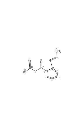 CC=Cc1ccccc1C(=O)CC(=O)O